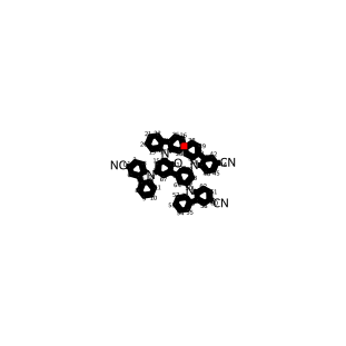 N#Cc1ccc2c(c1)c1ccccc1n2-c1cc(-n2c3ccccc3c3ccccc32)c2oc3c(-n4c5ccccc5c5cc(C#N)ccc54)cc(-n4c5ccccc5c5cc(C#N)ccc54)cc3c2c1